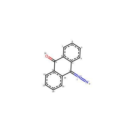 [N-]=[N+]=C1c2ccccc2C(=O)c2ccccc21